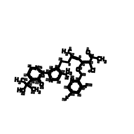 CC(=O)/C(Cl)=C(\C=C(\C)CCc1cc(-n2nccc(C(C)(C)O)c2=O)ncc1C)OCc1ncc(F)cc1F